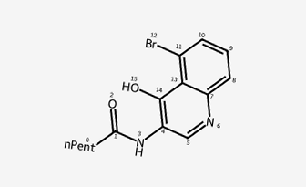 CCCCCC(=O)Nc1cnc2cccc(Br)c2c1O